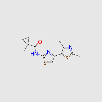 Cc1nc(C)c(-c2csc(NC(=O)C3(C)CC3)n2)s1